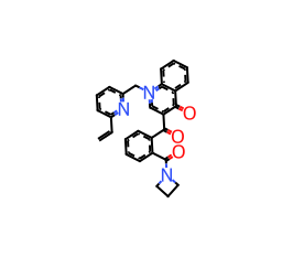 C=Cc1cccc(Cn2cc(C(=O)c3ccccc3C(=O)N3CCC3)c(=O)c3ccccc32)n1